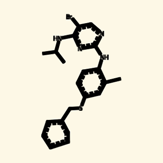 Cc1cc(SCc2ccccc2)ccc1Nc1ncc(Br)c(NC(C)C)n1